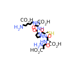 NCCCC[C@H](NC(=O)[C@H](CC(=O)O)NC(=O)[C@@H]1CCCN1C(=O)[C@H](CS)NC(=O)[C@H](CC(=O)O)NC(=O)[C@@H](N)CC(=O)O)C(=O)O